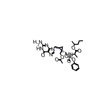 CCCC(C)OC(=O)C(C)N[P@](=O)(OC[C@@]1(COC(C)=O)C/C1=C/n1cnc2c(=O)[nH]c(N)nc21)Oc1ccccc1